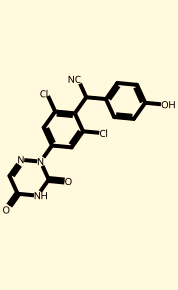 N#CC(c1ccc(O)cc1)c1c(Cl)cc(-n2ncc(=O)[nH]c2=O)cc1Cl